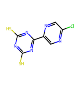 Sc1nc(S)nc(-c2cnc(Cl)cn2)n1